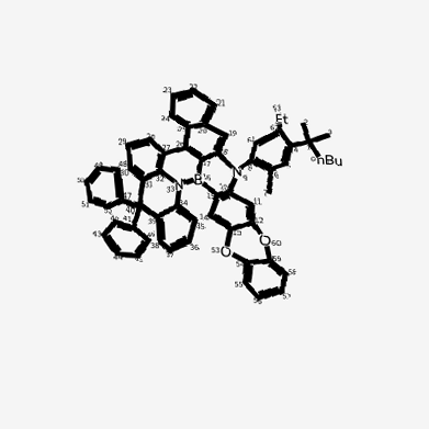 CCCCC(C)(C)c1cc(C)c(N2c3cc4c(cc3B3c5c2cc2ccccc2c5-c2cccc5c2N3c2ccccc2C5(c2ccccc2)c2ccccc2)Oc2ccccc2O4)cc1CC